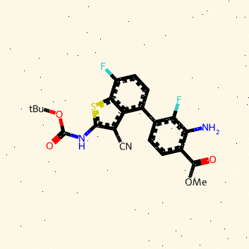 COC(=O)c1ccc(-c2ccc(F)c3sc(NC(=O)OC(C)(C)C)c(C#N)c23)c(F)c1N